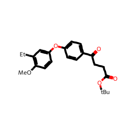 CCc1cc(Oc2ccc(C(=O)CCC(=O)OC(C)(C)C)cc2)ccc1OC